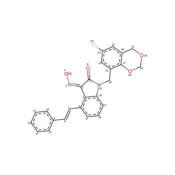 O=C1C(=NO)c2c(C=Cc3ccccc3)cccc2N1Cc1cc(F)cc2c1OCOC2